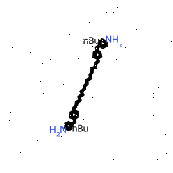 CCCCc1cc(N)ccc1Cc1ccc(CCCCCCCCCCCCCCCCCCc2ccc(Cc3ccc(N)cc3CCCC)cc2)cc1